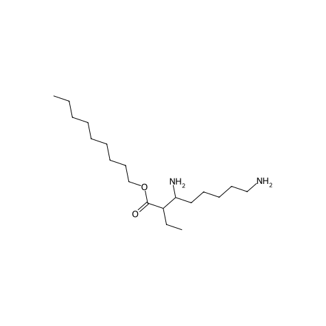 CCCCCCCCCOC(=O)C(CC)C(N)CCCCCN